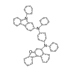 c1ccc(N(c2ccc(N(c3ccccc3)c3cc4oc5ccccc5c4c4ccccc34)cc2)c2ccc3c4ccccc4n(-c4ccccc4)c3c2)cc1